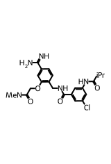 CNC(=O)COc1cc(C(=N)N)ccc1CNC(=O)c1cc(Cl)cc(NC(=O)C(C)C)c1